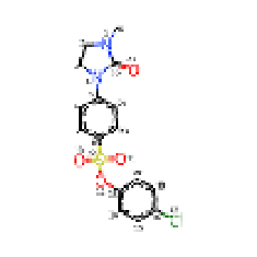 CN1CCN(c2ccc(S(=O)(=O)Oc3ccc(Cl)cc3)cc2)C1=O